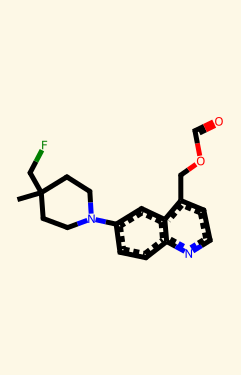 CC1(CF)CCN(c2ccc3nccc(COC=O)c3c2)CC1